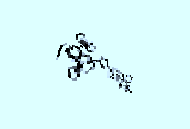 CC(C)(C)OC(=O)N1CCN(C2C=C(c3cc4c([N+](=O)[O-])cc(F)cc4c(=O)o3)CC2)CC1